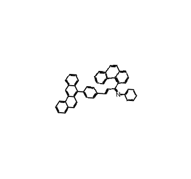 C(=C\c1ccc(-c2c3ccccc3cc3c2ccc2ccccc23)cc1)/C(=N/c1ccccc1)c1cccc2ccc3ccccc3c12